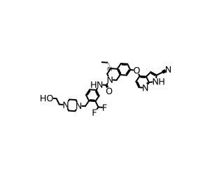 CC[C@H]1CN(C(=O)Nc2ccc(CN3CCN(CCO)CC3)c(C(F)F)c2)Cc2cc(Oc3ccnc4[nH]c(C#N)cc34)ccc21